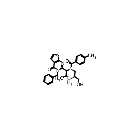 Cc1ccc(C(=O)N(CC(F)CO)C(c2nc3sccc3c(=O)n2Cc2ccccc2)C(C)C)cc1